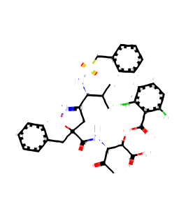 CC(=O)[C@@H](NC(=O)C1(Cc2ccccc2)CC([C@@H](NS(=O)(=O)Cc2ccccc2)C(C)C)=NO1)C(OC(=O)c1c(Cl)cccc1Cl)C(=O)O